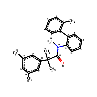 Cc1ccccc1-c1ccccc1N(C)C(=O)C(C)(C)c1cc(C(F)(F)F)cc(C(F)(F)F)c1